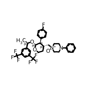 C[C@@H](O[C@H]1OCC[C@@H](C[N+]2([O-])CCN(c3ccccc3)CC2)[C@@H]1c1ccc(F)cc1)c1cc(C(F)(F)F)cc(C(F)(F)F)c1